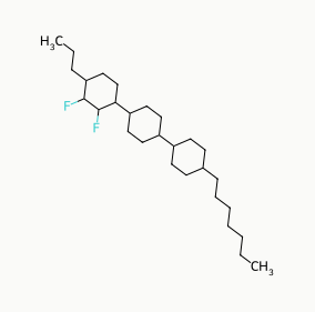 CCCCCCCC1CCC(C2CCC(C3CCC(CCC)C(F)C3F)CC2)CC1